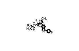 CC(C)CC(c1ccc2c(cnn2-c2ccc(F)cc2)c1)C(C)(C)CNC(=O)N[C@H](C)CO